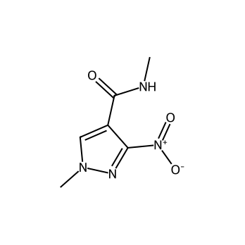 CNC(=O)c1cn(C)nc1[N+](=O)[O-]